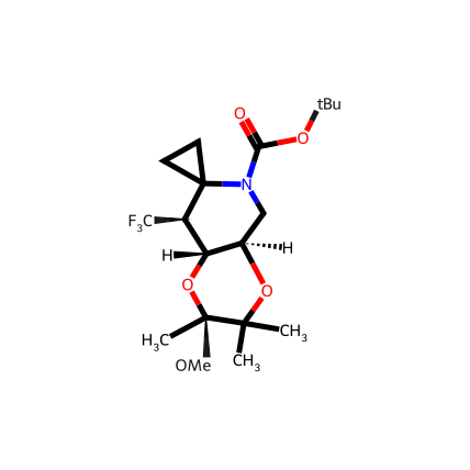 CO[C@@]1(C)O[C@H]2[C@@H](CN(C(=O)OC(C)(C)C)C3(CC3)[C@@H]2C(F)(F)F)OC1(C)C